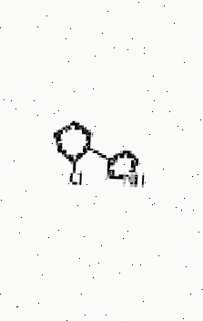 Clc1ccccc1-c1cc[nH]c1